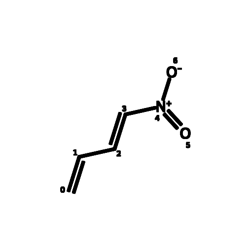 C=CC=C[N+](=O)[O-]